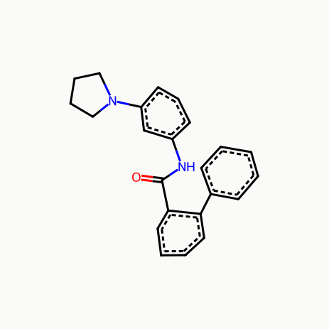 O=C(Nc1cccc(N2CCCC2)c1)c1ccccc1-c1ccccc1